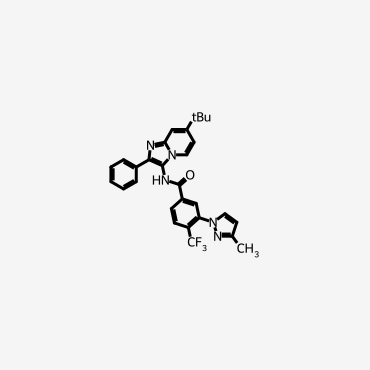 Cc1ccn(-c2cc(C(=O)Nc3c(-c4ccccc4)nc4cc(C(C)(C)C)ccn34)ccc2C(F)(F)F)n1